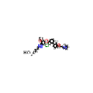 CCOc1cc(O[C@H]2CCc3c(-c4cccc(OCCCN5CCC5(C)C)c4C)cccc32)c(Cl)cc1CNCCCCC(=O)O